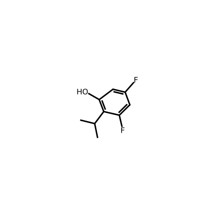 CC(C)c1c(O)cc(F)cc1F